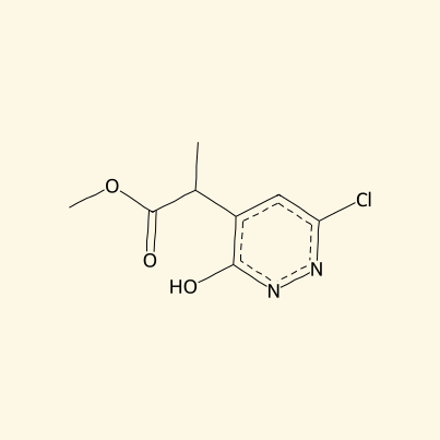 COC(=O)C(C)c1cc(Cl)nnc1O